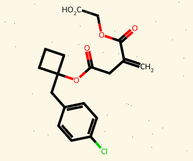 C=C(CC(=O)OC1(Cc2ccc(Cl)cc2)CCC1)C(=O)OCC(=O)O